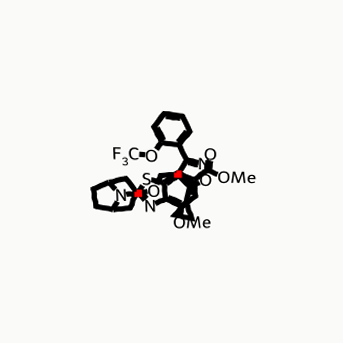 COC(=O)c1cc(OC)c2nc(N3C4CCC3CC(OCc3c(-c5ccccc5OC(F)(F)F)noc3C3CC3)C4)sc2c1